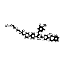 COCCOCCOC(=O)CN1CCN(C2CCN(C(=O)[C@@H](Cc3cc(C)c(O)c(C)c3)OC(=O)N3CCC(N4CCc5ccccc5NC4=O)CC3)CC2)CC1